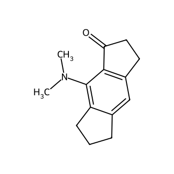 CN(C)c1c2c(cc3c1C(=O)CC3)CCC2